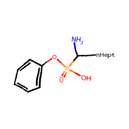 CCCCCCCC(N)P(=O)(O)Oc1ccccc1